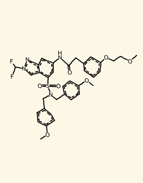 COCCOc1cccc(CC(=O)Nc2cc(S(=O)(=O)N(Cc3ccc(OC)cc3)Cc3ccc(OC)cc3)c3cn(C(F)F)nc3c2)c1